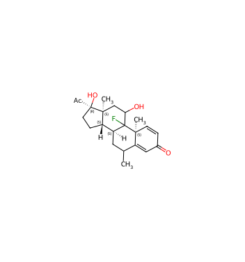 CC(=O)[C@@]1(O)CC[C@H]2[C@@H]3CC(C)C4=CC(=O)C=C[C@]4(C)C3(F)C(O)C[C@@]21C